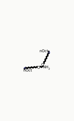 CCCCCCCC/C=C\CCCCCCCCOC[CH]C(N)OCCCCCCCC/C=C\CCCCCCCC